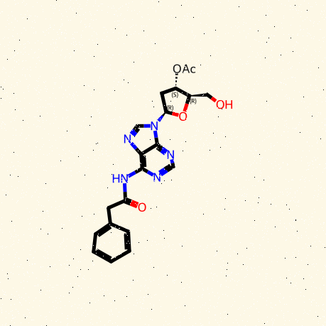 CC(=O)O[C@H]1C[C@H](n2cnc3c(NC(=O)Cc4ccccc4)ncnc32)O[C@@H]1CO